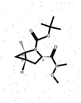 CON(C)C(=O)[C@@H]1C[C@@H]2C[C@H]2N1C(=O)OC(C)(C)C